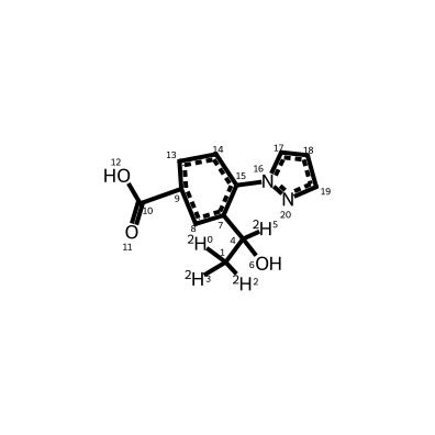 [2H]C([2H])([2H])C([2H])(O)c1cc(C(=O)O)ccc1-n1cccn1